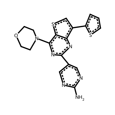 Nc1ncc(-c2nc(N3CCOCC3)c3scc(-c4cccs4)c3n2)cn1